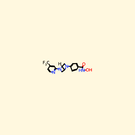 O=C(NO)c1ccc(N2C[C@H]3C2CN3c2cc(C(F)(F)F)ccn2)cc1